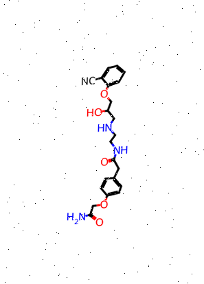 N#Cc1ccccc1OCC(O)CNCCNC(=O)Cc1ccc(OCC(N)=O)cc1